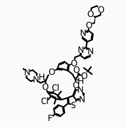 Cc1c(Cl)c2c(Cl)c(C)c1-c1c(-c3ccc(F)cc3)sc3ncnc(c13)O[C@@H](C(=O)OC(C)(C)C)Cc1cc(ccc1OCc1ccnc(-c3ccc(OC[C@@H]4COCCO4)nc3)n1)OC[C@@H](CN1CCN(C)CC1)O2